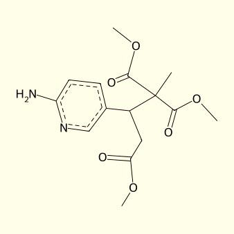 COC(=O)CC(c1ccc(N)nc1)C(C)(C(=O)OC)C(=O)OC